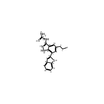 CCCc1cc(-c2cc3ccccc3s2)c2[nH]nc(NC(N)=S)c2c1